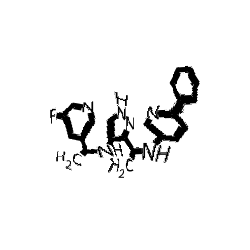 C=C(Nc1c[nH]nc1C(=C)Nc1ccc(-c2ccccc2)nc1)c1cncc(F)c1